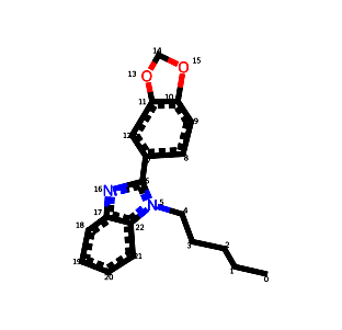 CCCCCn1c(-c2ccc3c(c2)OCO3)nc2ccccc21